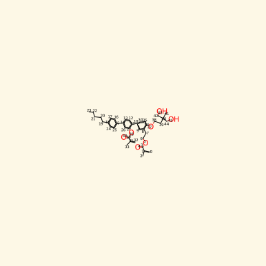 C=C(C)C(=O)OCCc1cc(-c2ccc(-c3ccc(CCCCC)cc3)cc2OC(=O)C(=C)C)ccc1OCCC(C)(CO)CO